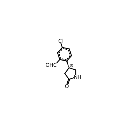 O=Cc1cc(Cl)ccc1[C@H]1CNC(=O)C1